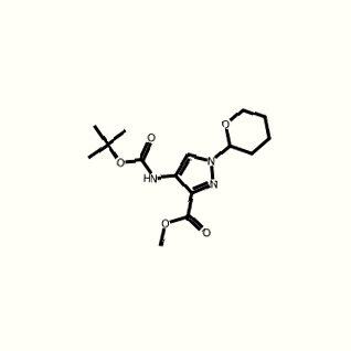 COC(=O)c1nn(C2CCCCO2)cc1NC(=O)OC(C)(C)C